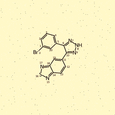 Brc1cccc(-c2n[nH]nc2-c2ccc3nsnc3c2)c1